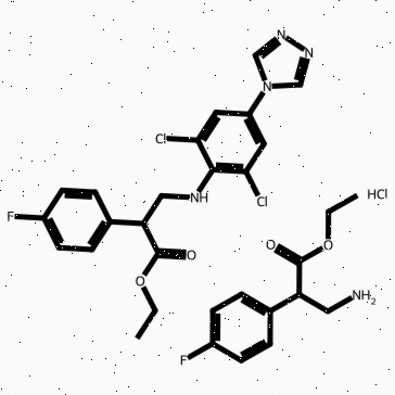 CCOC(=O)C(CN)c1ccc(F)cc1.CCOC(=O)C(CNc1c(Cl)cc(-n2cnnc2)cc1Cl)c1ccc(F)cc1.Cl